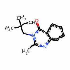 Cc1nc2ccccc2c(=O)n1CC(C)(C)C